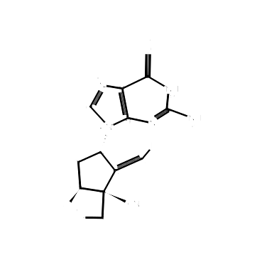 N#C[C@]1(CO)/C(=C/F)[C@@H](n2cnc3c(=O)[nH]c(N)nc32)C[C@@H]1O